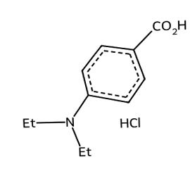 CCN(CC)c1ccc(C(=O)O)cc1.Cl